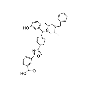 C[C@@H]1CN([C@H](c2ccc(-c3noc(-c4cccc(C(=O)O)c4)n3)cc2)c2cccc(O)c2)[C@@H](C)CN1Cc1ccccc1